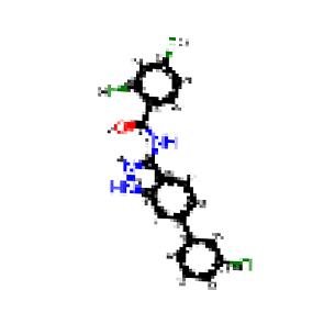 O=C(Nc1n[nH]c2cc(-c3cccc(Cl)c3)ccc12)c1ccc(F)cc1F